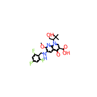 COc1nc2c(cc1NCc1c(F)cc(F)cc1F)c(=O)c(C(=O)O)cn2C(CO)C(C)(C)C